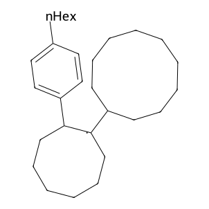 CCCCCCc1ccc(C2CCCCCC[C]2C2CCCCCCCCC2)cc1